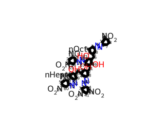 CCCCCCCCc1cc(N=Nc2cccc([N+](=O)[O-])c2)cc(Cc2cc(N=Nc3cc([N+](=O)[O-])cc([N+](=O)[O-])c3)cc(Cc3cc(N=Nc4cc([N+](=O)[O-])cc([N+](=O)[O-])c4)cc(Cc4cc(N=Nc5cc([N+](=O)[O-])cc([N+](=O)[O-])c5)cc(CCCCCCC)c4O)c3O)c2O)c1O